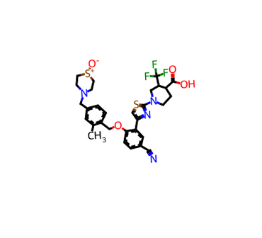 Cc1cc(CN2CC[S+]([O-])CC2)ccc1COc1ccc(C#N)cc1-c1csc(N2CCC(C(=O)O)C(C(F)(F)F)C2)n1